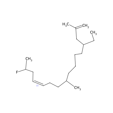 C=C(C)CC(CC)CCCCC(C)CC/C=C\CC(C)F